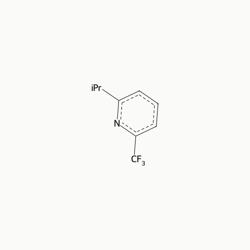 CC(C)c1cccc(C(F)(F)F)n1